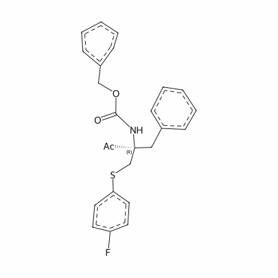 CC(=O)[C@@](CSc1ccc(F)cc1)(Cc1ccccc1)NC(=O)OCc1ccccc1